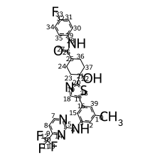 Cc1cc(Nc2nccc(C(F)(F)F)n2)cc(-c2cnc(C3(O)CCC(C(=O)Nc4ccc(F)cc4)CC3)s2)c1